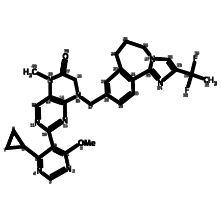 COc1ncnc(C2CC2)c1-c1ncc2c(n1)N(Cc1ccc3c(c1)CCCn1cc(C(C)(F)F)nc1-3)CC(=O)N2C